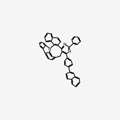 c1ccc(-c2nc(-c3ccc(-c4ccc5ccccc5c4)cc3)c3c(n2)-c2ccc4ccccc4c2-n2c4ccccc4c4ccc(cc42)C3)cc1